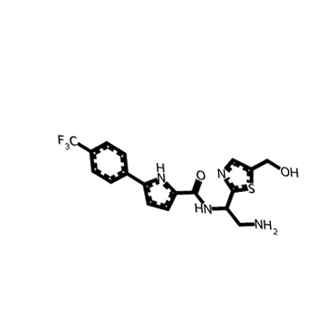 NCC(NC(=O)c1ccc(-c2ccc(C(F)(F)F)cc2)[nH]1)c1ncc(CO)s1